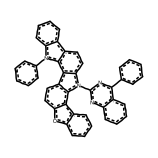 c1ccc(-c2nc(-n3c4ccc5c6ccccc6n(-c6ccccc6)c5c4c4ccc5oc6ccccc6c5c43)nc3ccccc23)cc1